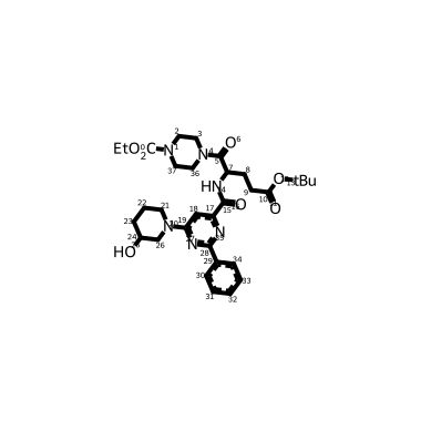 CCOC(=O)N1CCN(C(=O)C(CCC(=O)OC(C)(C)C)NC(=O)c2cc(N3CCCC(O)C3)nc(-c3ccccc3)n2)CC1